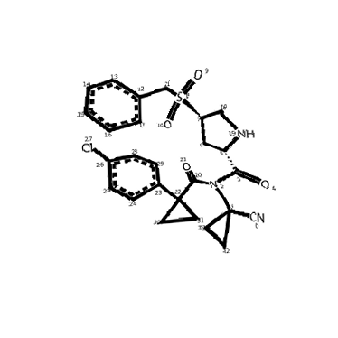 N#CC1(N(C(=O)[C@@H]2C[C@@H](S(=O)(=O)Cc3ccccc3)CN2)C(=O)C2(c3ccc(Cl)cc3)CC2)CC1